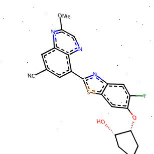 COc1cnc2c(-c3nc4cc(F)c(O[C@@H]5CCC[C@@H]5O)cc4s3)cc(C#N)cc2n1